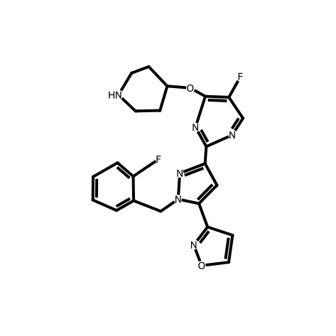 Fc1ccccc1Cn1nc(-c2ncc(F)c(OC3CCNCC3)n2)cc1-c1ccon1